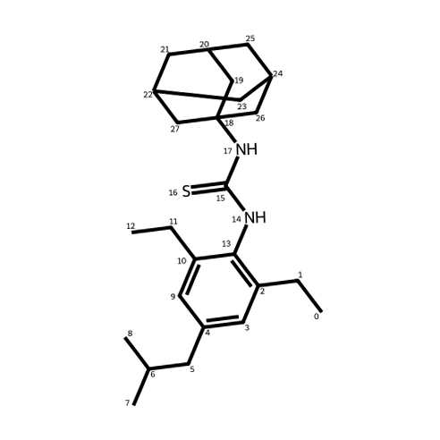 CCc1cc(CC(C)C)cc(CC)c1NC(=S)NC12CC3CC(CC(C3)C1)C2